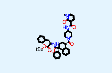 Cn1cccc(C(=O)NC2CCN(C(=O)[C@H]3CC[C@@](C(=O)N[C@H](Cc4ccccc4)C(=O)OC(C)(C)C)(c4ccccc4)c4ccccc43)CC2)c1=O